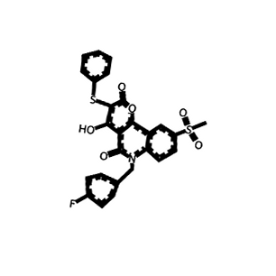 CS(=O)(=O)c1ccc2c(c1)c1oc(=O)c(Sc3ccccc3)c(O)c1c(=O)n2Cc1ccc(F)cc1